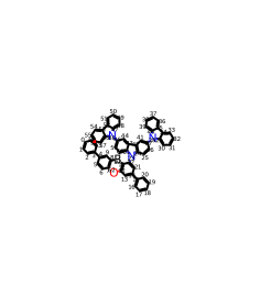 c1ccc(-c2ccc3c(c2)B2c4c(cc(-c5ccccc5)cc4-n4c5ccc(-n6c7ccccc7c7ccccc76)cc5c5cc(-n6c7ccccc7c7ccccc76)cc2c54)O3)cc1